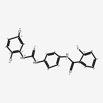 O=C(Nc1ccc(NC(=S)Nc2cc(Cl)ccc2Cl)cc1)c1ccccc1F